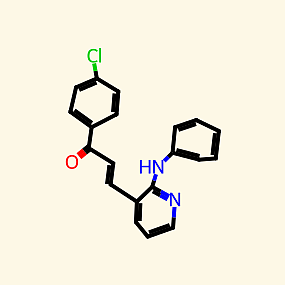 O=C(C=Cc1cccnc1Nc1ccccc1)c1ccc(Cl)cc1